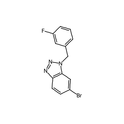 Fc1cccc(Cn2nnc3ccc(Br)cc32)c1